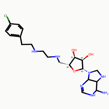 NC1NC=NC2C1NCN2[C@@H]1O[C@H](CNCCNCCc2ccc(Cl)cc2)[C@@H](O)[C@H]1O